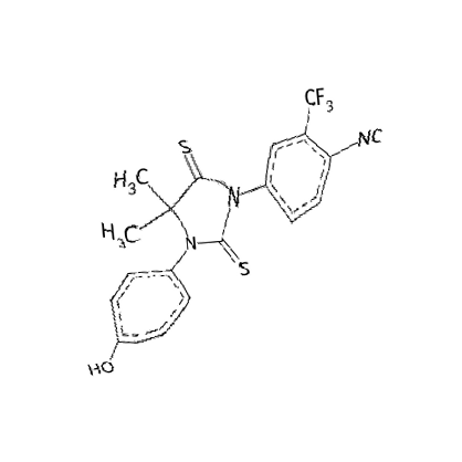 [C-]#[N+]c1ccc(N2C(=S)N(c3ccc(O)cc3)C(C)(C)C2=S)cc1C(F)(F)F